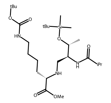 COC(=O)[C@H](CCCCNC(=O)OC(C)(C)C)NC[C@H](NC(=O)C(C)C)[C@@H](C)O[Si](C)(C)C(C)(C)C